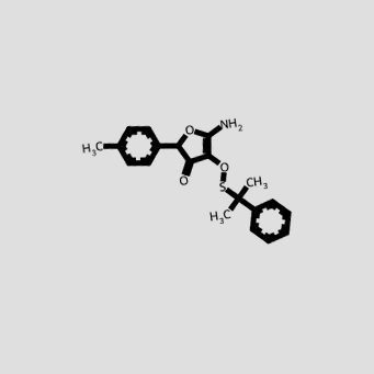 Cc1ccc(C2OC(N)=C(OSC(C)(C)c3ccccc3)C2=O)cc1